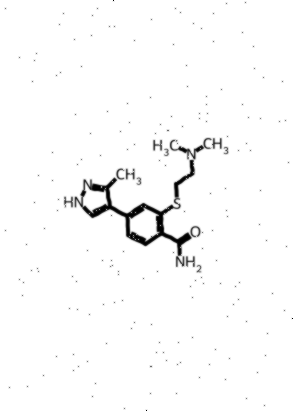 Cc1n[nH]cc1-c1ccc(C(N)=O)c(SCCN(C)C)c1